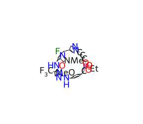 CCOP1(=O)Cc2ccc(c(OC)c2)Nc2ncc(C(F)(F)F)c(n2)Nc2cc(F)c(nc2C(=O)NC)-c2cnn(c2)CCCO1